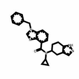 O=C(c1cccc2c1ncn2Cc1ccccc1)N(C1CC1)C1CCc2[nH]ncc2C1